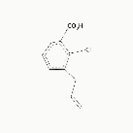 C=CCc1cccc(C(=O)O)c1Cl